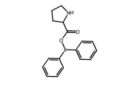 O=C(OB(c1ccccc1)c1ccccc1)C1CCCN1